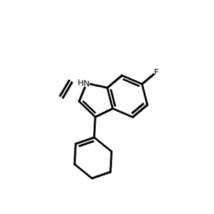 C=C.Fc1ccc2c(C3=CCCCC3)c[nH]c2c1